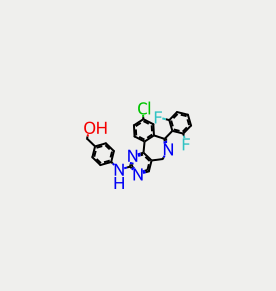 OCc1ccc(Nc2ncc3c(n2)-c2ccc(Cl)cc2C(c2c(F)cccc2F)=NC3)cc1